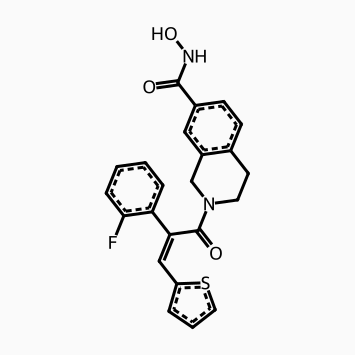 O=C(NO)c1ccc2c(c1)CN(C(=O)C(=Cc1cccs1)c1ccccc1F)CC2